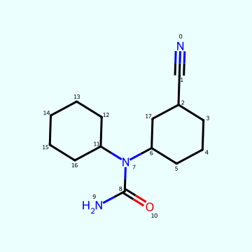 N#CC1CCCC(N(C(N)=O)C2CCCCC2)C1